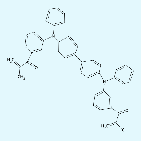 C=C(C)C(=O)c1cccc(N(c2ccccc2)c2ccc(-c3ccc(N(c4ccccc4)c4cccc(C(=O)C(=C)C)c4)cc3)cc2)c1